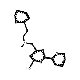 CN(CCc1ccccn1)Cc1cc(O)nc(-c2ccccn2)n1